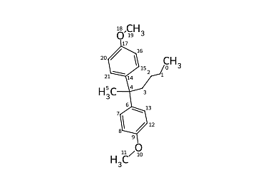 CCCCC(C)(c1ccc(OC)cc1)c1ccc(OC)cc1